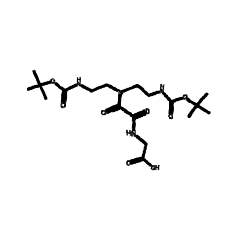 CC(C)(C)OC(=O)NCCN(CCNC(=O)OC(C)(C)C)C(=O)C(=O)NCC(=O)O